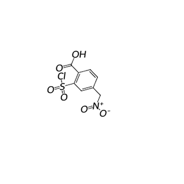 O=C(O)c1ccc(C[N+](=O)[O-])cc1S(=O)(=O)Cl